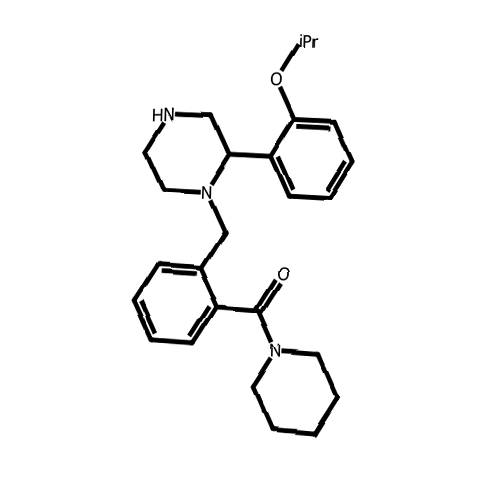 CC(C)Oc1ccccc1C1CNCCN1Cc1ccccc1C(=O)N1CCCCC1